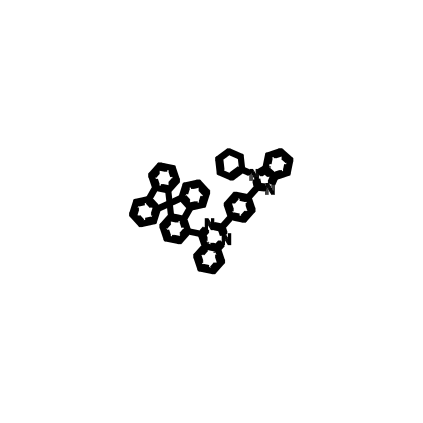 C1=CCCC(n2c(-c3ccc(-c4nc(-c5cccc6c5-c5ccccc5C65c6ccccc6-c6ccccc65)c5ccccc5n4)cc3)nc3ccccc32)=C1